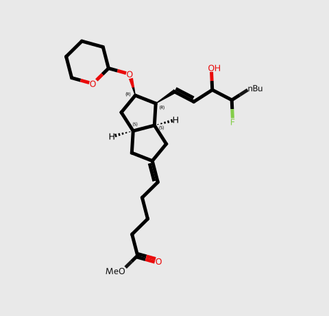 CCCCC(F)C(O)C=C[C@H]1[C@H]2CC(=CCCCC(=O)OC)C[C@H]2C[C@H]1OC1CCCCO1